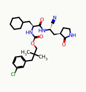 CC(C)(COC(=O)N[C@@H](CC1CCCCC1)C(=O)N[C@H](C#N)C[C@H]1CCNC1=O)Cc1cccc(Cl)c1